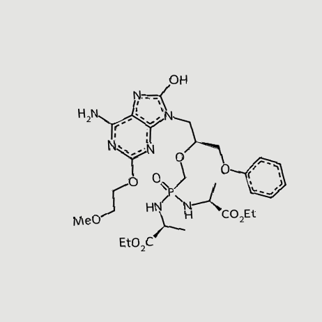 CCOC(=O)[C@H](C)NP(=O)(CO[C@H](COc1ccccc1)Cn1c(O)nc2c(N)nc(OCCOC)nc21)N[C@@H](C)C(=O)OCC